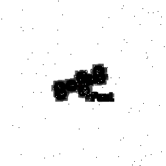 CCCCCC1=CC(C(CNC2=C3C=CCCC3CC=C2)C2CCCCC2C(C)C2=CCC(C3=CCCC4CCCCC34)C=C2)CCC1